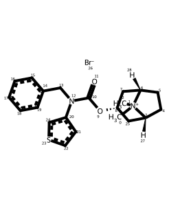 C[N+]1(C)[C@@H]2CC[C@H]1C[C@@H](OC(=O)N(Cc1ccccc1)c1ccsc1)C2.[Br-]